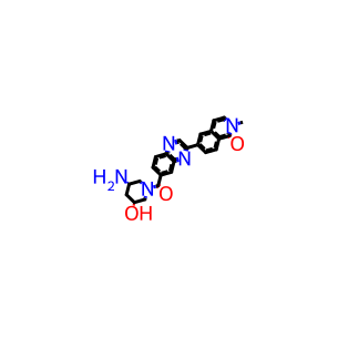 Cn1ccc2cc(-c3cnc4ccc(C(=O)N5C[C@@H](N)C[C@H](O)C5)cc4n3)ccc2c1=O